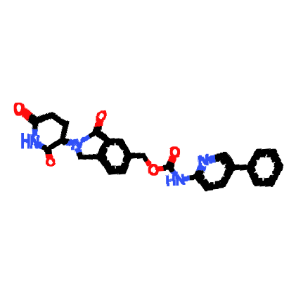 O=C1CCC(N2Cc3ccc(COC(=O)Nc4ccc(-c5ccccc5)cn4)cc3C2=O)C(=O)N1